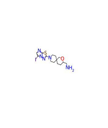 NCC1CCC2(CCN(c3nn4c(I)cnc4s3)CC2)CO1